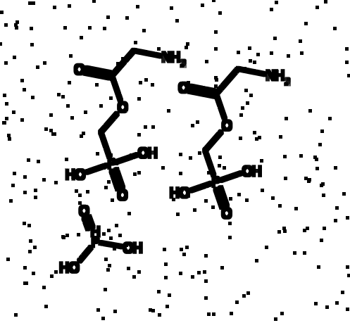 NCC(=O)OCP(=O)(O)O.NCC(=O)OCP(=O)(O)O.O=[PH](O)O